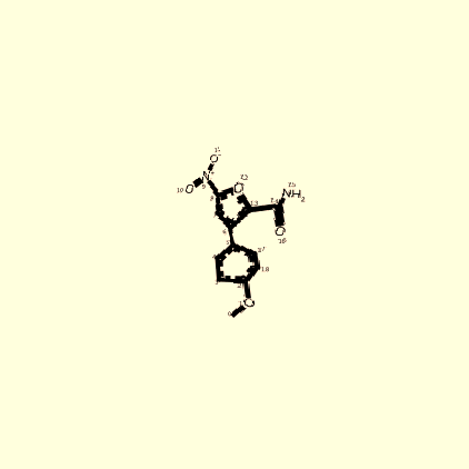 COc1ccc(-c2cc([N+](=O)[O-])oc2C(N)=O)cc1